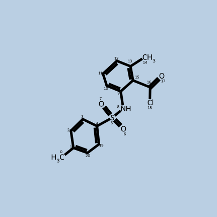 Cc1ccc(S(=O)(=O)Nc2cccc(C)c2C(=O)Cl)cc1